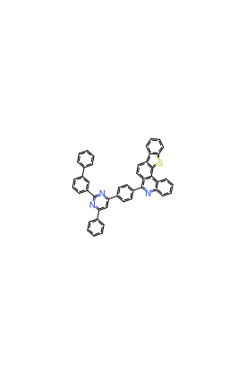 c1ccc(-c2cccc(-c3nc(-c4ccccc4)cc(-c4ccc(-c5nc6ccccc6c6c5ccc5c7ccccc7sc56)cc4)n3)c2)cc1